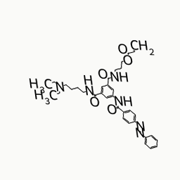 C=CC(=O)OCCCNC(=O)c1cc(NC(=O)c2ccc(/N=N/c3ccccc3)cc2)cc(C(=O)NCCCCN(CC)CC)c1